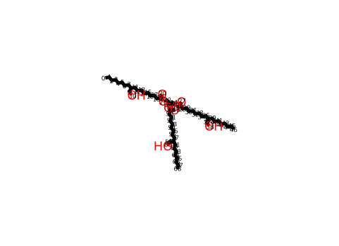 CCCCCCCCC(CO)CCCCCCCCC(=O)OCC(COC(=O)CCCCCCCCC(CO)CCCCCCCC)OC(=O)CCCCCCCCC(CO)CCCCCCCC